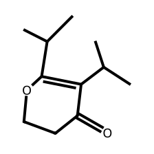 CC(C)C1=C(C(C)C)C(=O)CCO1